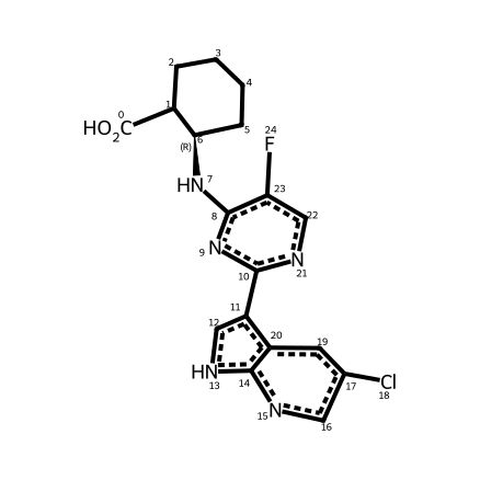 O=C(O)C1CCCC[C@H]1Nc1nc(-c2c[nH]c3ncc(Cl)cc23)ncc1F